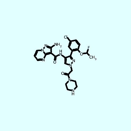 CC(F)Oc1ccc(Cl)cc1-c1nn(CC(=O)N2CCNCC2)cc1NC(=O)c1c(N)nn2cccnc12